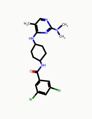 Cc1cnc(N(C)C)nc1NC1CCC(NC(=O)c2cc(Br)cc(Br)c2)CC1